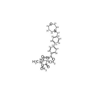 CNC(=O)C(C)(NC(=O)c1ccc(-c2ccc(CN3CCCOCC3)cc2)cc1)C(=O)OC